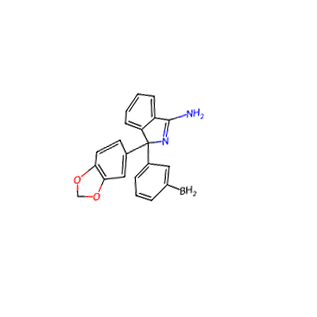 Bc1cccc(C2(c3ccc4c(c3)OCO4)N=C(N)c3ccccc32)c1